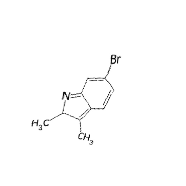 CC1=c2ccc(Br)cc2=NC1C